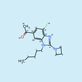 CCCCCn1c(N2CCC2)nc2c(F)cc(C(C)=O)cc21